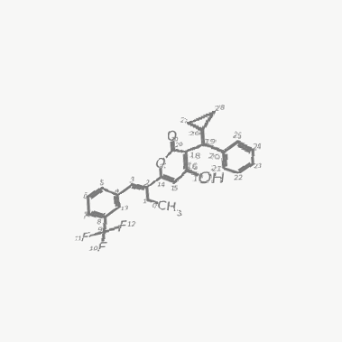 CCC(=Cc1cccc(C(F)(F)F)c1)c1cc(O)c(C(c2ccccc2)C2CC2)c(=O)o1